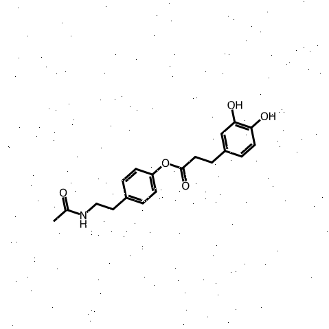 CC(=O)NCCc1ccc(OC(=O)CCc2ccc(O)c(O)c2)cc1